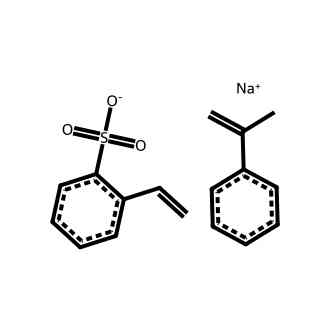 C=C(C)c1ccccc1.C=Cc1ccccc1S(=O)(=O)[O-].[Na+]